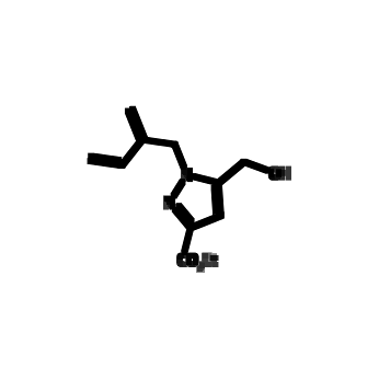 C=CC(=C)Cn1nc(C(=O)OCC)cc1CO